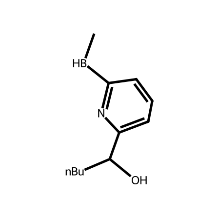 CBc1cccc(C(O)CCCC)n1